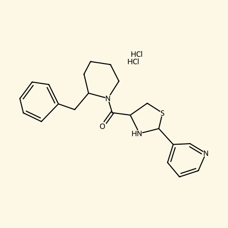 Cl.Cl.O=C(C1CSC(c2cccnc2)N1)N1CCCCC1Cc1ccccc1